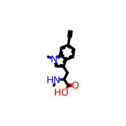 C#Cc1ccc2c(CC(NC)C(=O)O)cn(C)c2c1